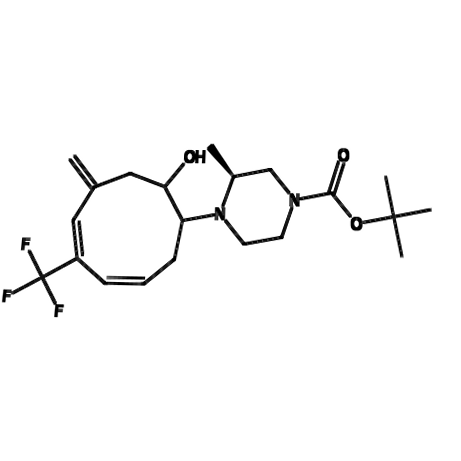 C=C1/C=C(C(F)(F)F)\C=C/CC(N2CCN(C(=O)OC(C)(C)C)C[C@@H]2C)C(O)C1